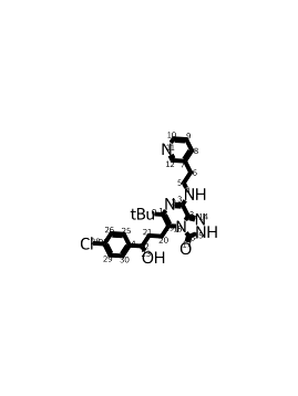 CC(C)(C)c1nc(NCCc2cccnc2)c2n[nH]c(=O)n2c1CCC(O)c1ccc(Cl)cc1